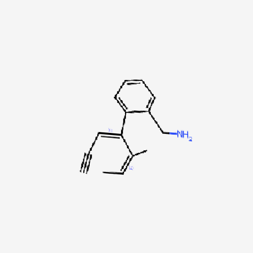 C#C/C=C(\C(C)=C/C)c1ccccc1CN